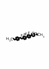 CCCc1ccc(CCc2ccc(-c3ccc(C4CCC(OCC)OC4)c(F)c3F)c(F)c2F)cc1